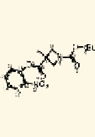 CC(C)(C)OC(=O)N1CC(C)(C(=O)Oc2cccnc2[N+](=O)[O-])C1